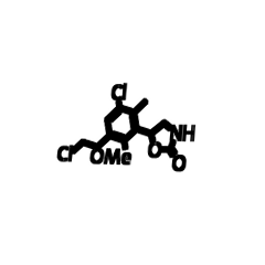 COc1c(CCCl)cc(Cl)c(C)c1C1CNC(=O)O1